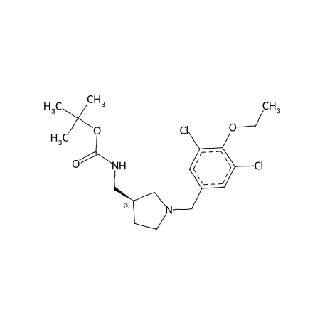 CCOc1c(Cl)cc(CN2CC[C@@H](CNC(=O)OC(C)(C)C)C2)cc1Cl